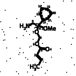 CC=CC(=O)OCO[Si](CN)(OC)c1ccccc1